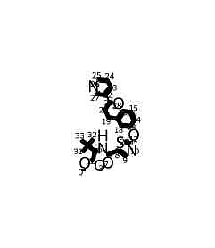 COC(=O)C(NC(=O)c1cnc(Oc2ccc3c(c2)CC[C@@H](c2cccnc2)O3)s1)C(C)(C)C